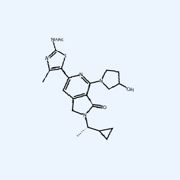 CC(=O)Nc1nc(C)c(-c2cc3c(c(N4CCC(O)C4)n2)C(=O)N([C@@H](C)C2CC2)C3)s1